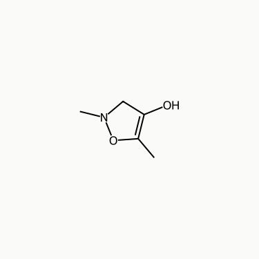 CC1=C(O)CN(C)O1